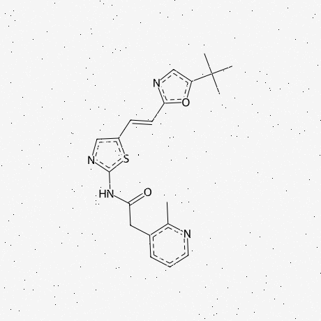 Cc1ncccc1CC(=O)Nc1ncc(C=Cc2ncc(C(C)(C)C)o2)s1